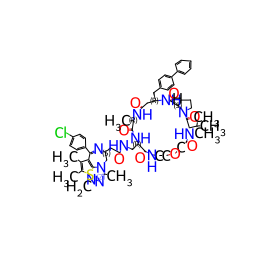 C=N/N=C(/C)N1C[C@H](CC(=O)NC[C@H]2NC(=O)[C@@H](C)NC(=O)C[C@@H](Cc3ccc(-c4ccccc4)cc3)NC(=O)[C@@H]3CCCN3C(=O)C(C(C)(C)C)NC(=O)COCCNC2=O)N=C(c2ccc(Cl)cc2)c2c1sc(C)c2C